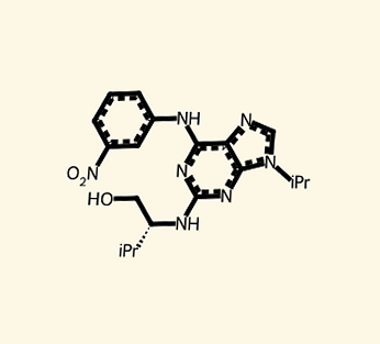 CC(C)[C@H](CO)Nc1nc(Nc2cccc([N+](=O)[O-])c2)c2ncn(C(C)C)c2n1